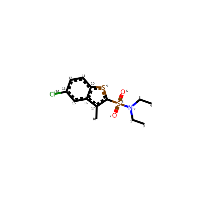 CCN(CC)S(=O)(=O)c1sc2ccc(Cl)cc2c1C